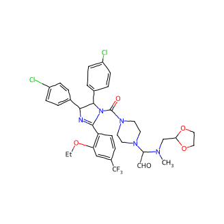 CCOc1cc(C(F)(F)F)ccc1C1=NC(c2ccc(Cl)cc2)C(c2ccc(Cl)cc2)N1C(=O)N1CCN(C(C=O)N(C)CC2OCCO2)CC1